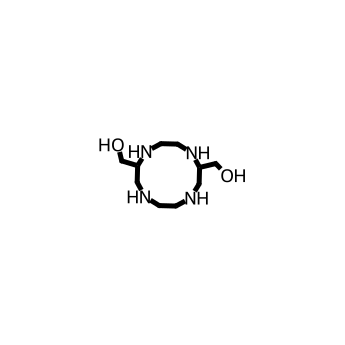 OCC1CNCCNCC(CO)NCCN1